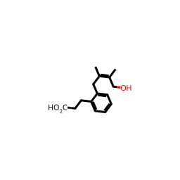 CC(CO)=C(C)Cc1ccccc1CCC(=O)O